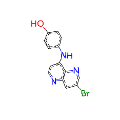 Oc1ccc(Nc2ccnc3cc(Br)cnc23)cc1